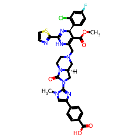 COC(=O)C1=C(CN2CCN3C(=O)N(c4nc(-c5ccc(C(=O)O)cc5)cn4C)C[C@@H]3C2)NC(c2nccs2)=N[C@H]1c1ccc(F)cc1Cl